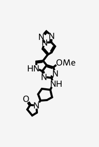 COc1nc(NC2CCC(N3CCCC3=O)CC2)nc2[nH]cc(-c3ccc4ncnn4c3)c12